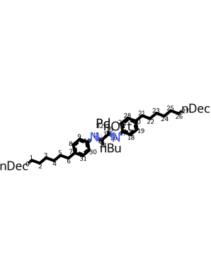 CCCCCCCCCCCCCCCCc1ccc(/N=C(CCCC)/C(CCCCCCCC)=N/c2ccc(CCCCCCCCCCCCCCCC)cc2)cc1.[Pd]